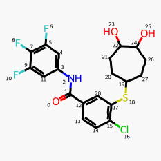 O=C(Nc1cc(F)c(F)c(F)c1)c1ccc(Cl)c(SC2CCC(O)C(O)CC2)c1